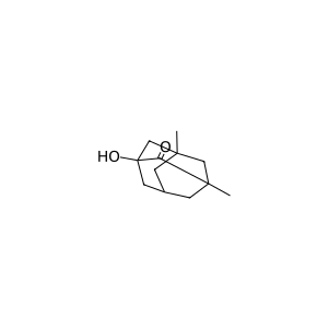 CC12CC3CC(C)(C1)C(=O)C(O)(C3)C2